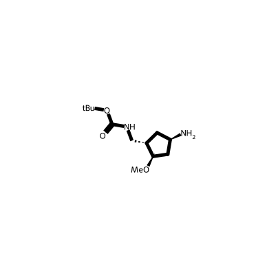 CO[C@@H]1C[C@H](N)C[C@H]1CNC(=O)OC(C)(C)C